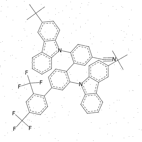 CC(C)(C)c1ccc2c(c1)c1ccccc1n2-c1ccc(C#N)cc1-c1ccc(-c2ccc(C(F)(F)F)cc2C(F)(F)F)cc1-n1c2ccccc2c2cc(C(C)(C)C)ccc21